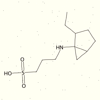 CCC1CCC2CC12NCCCS(=O)(=O)O